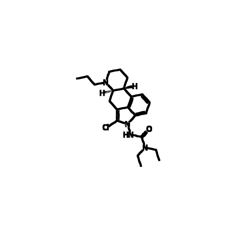 CCCN1CCC[C@@H]2c3cccc4c3c(c(Cl)n4NC(=O)N(CC)CC)C[C@H]21